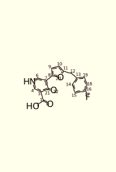 O=C(O)c1c[nH]cc(-c2ccc(Cc3ccc(F)cc3)o2)c1=O